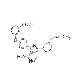 CC#CCN1CCCC(c2nc(-c3ccc(Oc4cc(C(=O)O)ccn4)cc3)n3c(N)nccc23)C1